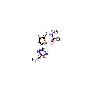 CCC(=O)N(Cc1ccc(-c2noc(C(F)(F)F)n2)s1)C(C)C